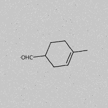 CC1=CCC([C]=O)CC1